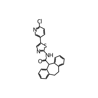 O=C(Nc1ncc(-c2ccc(Cl)nc2)s1)C1c2ccccc2CCc2ccccc21